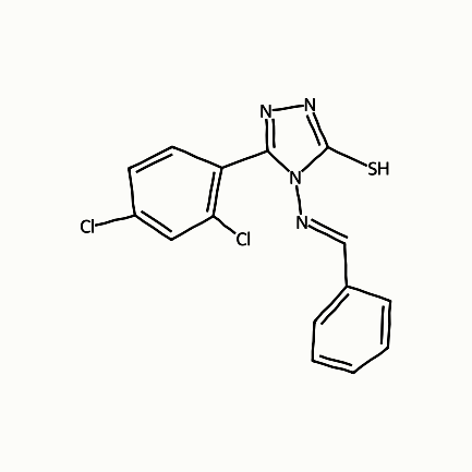 Sc1nnc(-c2ccc(Cl)cc2Cl)n1/N=C/c1ccccc1